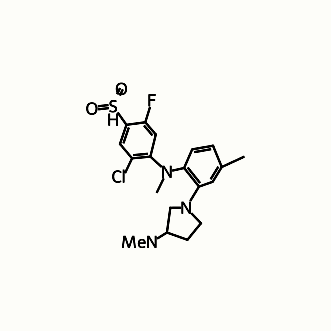 CNC1CCN(c2cc(C)ccc2N(C)c2cc(F)c([SH](=O)=O)cc2Cl)C1